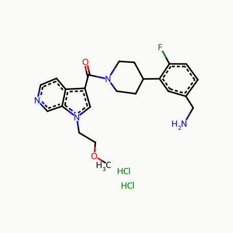 COCCn1cc(C(=O)N2CCC(c3cc(CN)ccc3F)CC2)c2ccncc21.Cl.Cl